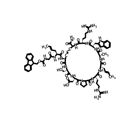 C/C=C/C[C@H](NC(=O)CNC(=O)OCC1c2ccccc2-c2ccccc21)C(=O)N[C@H]1CCCC(C(N)=O)NC(=O)[C@H](CCCNC(=N)N)NC(=O)[C@H](Cc2cc3ccccc3[nH]2)NC(=O)[C@H](C)NC(=O)[C@H](C/C=C/C)NC(=O)[C@H](CCCNC(=N)N)NC(=O)C2CCCN2C(=O)[C@H](CC(=O)O)NC(=O)[C@H](CO)NC1=O